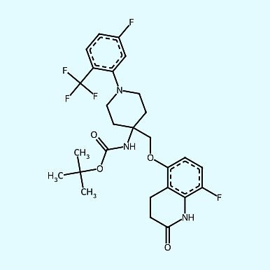 CC(C)(C)OC(=O)NC1(COc2ccc(F)c3c2CCC(=O)N3)CCN(c2cc(F)ccc2C(F)(F)F)CC1